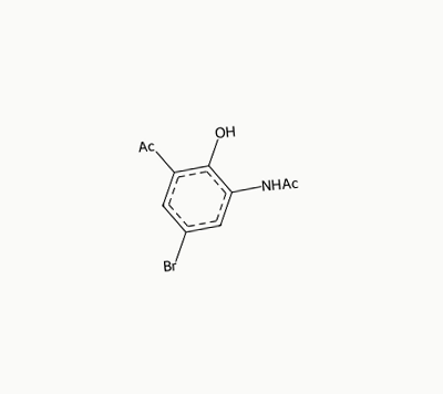 CC(=O)Nc1cc(Br)cc(C(C)=O)c1O